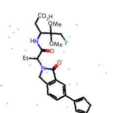 CCC(C(=O)NC(CC(=O)O)C(CF)(OC)OC)N1Cc2ccc(C3=CCC=C3)cc2C1=O